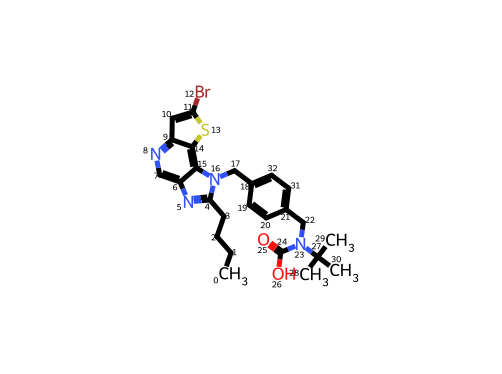 CCCCc1nc2cnc3cc(Br)sc3c2n1Cc1ccc(CN(C(=O)O)C(C)(C)C)cc1